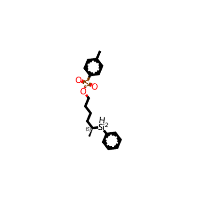 Cc1ccc(S(=O)(=O)OCCCC[C@H](C)[SiH2]c2ccccc2)cc1